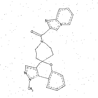 Cn1ncc2c1-c1ccccc1OC21CCN(C(=O)c2cn3ccccc3n2)CC1